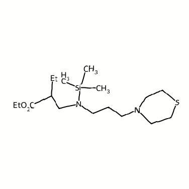 CCOC(=O)C(CC)CN(CCCN1CCSCC1)[Si](C)(C)C